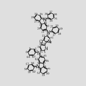 c1ccc(N(c2cnc3c(c2)oc2cc(N(c4ccccc4)c4ccc5c6ccccc6n(-c6ccccc6)c5c4)cnc23)c2ccc3c4ccccc4n(-c4ccccc4)c3c2)cc1